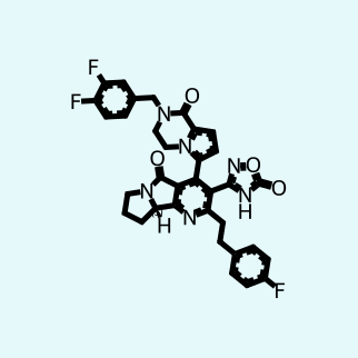 O=C1c2ccc(-c3c4c(nc(CCc5ccc(F)cc5)c3-c3noc(=O)[nH]3)[C@@H]3CCCN3C4=O)n2CCN1Cc1ccc(F)c(F)c1